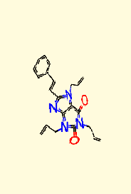 C=CCn1c(=O)c2c(nc(/C=C/c3ccccc3)n2CC=C)n(CC=C)c1=O